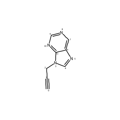 [C]#CCn1cnc2cncnc21